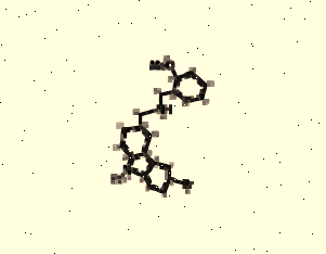 CCn1c2ccc(Br)cc2c2cc(CNCc3ccccc3OC)ccc21